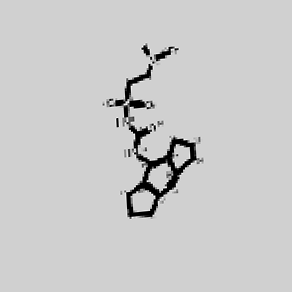 CCN(C)CCS(=O)(=O)NC(=O)Nc1c2c(cc3c1CCC3)CCC2